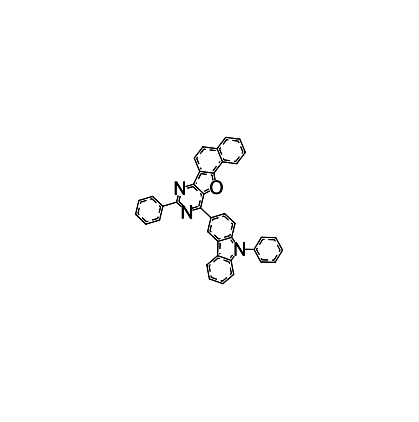 c1ccc(-c2nc(-c3ccc4c(c3)c3ccccc3n4-c3ccccc3)c3oc4c5ccccc5ccc4c3n2)cc1